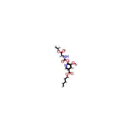 CCCCCOC(=O)c1cnc(OC(=O)NCC(=O)OCC)c(OC)c1